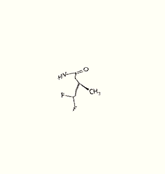 C[C@H](C([NH])=O)C(F)F